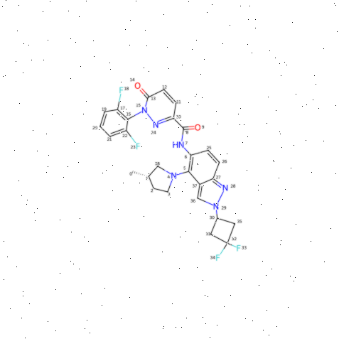 C[C@H]1CCN(c2c(NC(=O)c3ccc(=O)n(-c4c(F)cccc4F)n3)ccc3nn(C4CC(F)(F)C4)cc23)C1